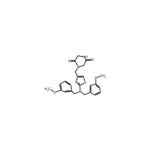 COc1cccc(CN(Cc2cccc(OC)c2)c2nc(CN3CC(=O)NCC3=O)co2)c1